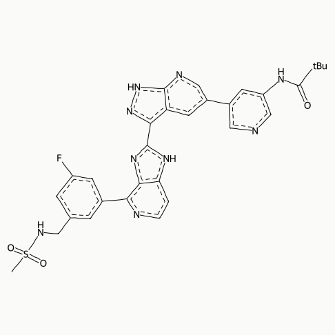 CC(C)(C)C(=O)Nc1cncc(-c2cnc3[nH]nc(-c4nc5c(-c6cc(F)cc(CNS(C)(=O)=O)c6)nccc5[nH]4)c3c2)c1